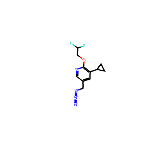 [N-]=[N+]=NCc1cnc(OCC(F)F)c(C2CC2)c1